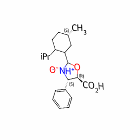 CC(C)C1CC[C@H](C)CC1C1O[C@@H](C(=O)O)[C@H](c2ccccc2)[NH+]1[O-]